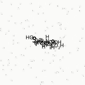 C=CCN(CC=C)[C@@H](Cc1ccc(O)cc1)C(=O)N[C@H](CC(C)C)C(=O)NCC(=O)N[C@@H](Cc1ccc(O)cc1)C(=O)N[C@@H](CC(C)C)C(=O)O